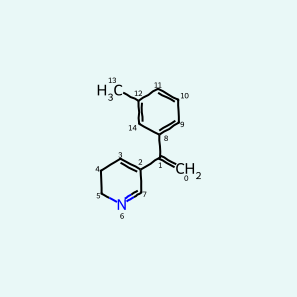 C=C(C1=CCCN=C1)c1cccc(C)c1